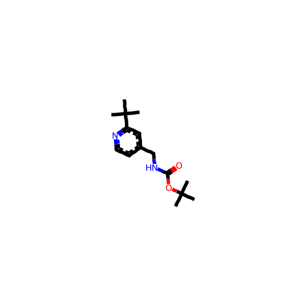 CC(C)(C)OC(=O)NCc1ccnc(C(C)(C)C)c1